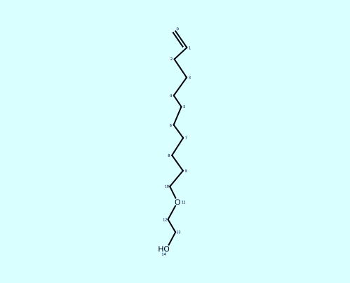 C=CCCCCCCCCCOCCO